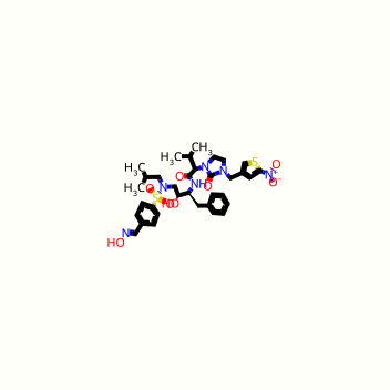 CC(C)CN(C[C@@H](O)[C@H](Cc1ccccc1)NC(=O)C(C(C)C)N1CCN(Cc2csc([N+](=O)[O-])c2)C1=O)S(=O)(=O)c1ccc(/C=N/O)cc1